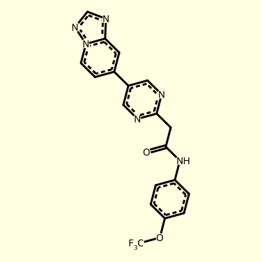 O=C(Cc1ncc(-c2ccn3ncnc3c2)cn1)Nc1ccc(OC(F)(F)F)cc1